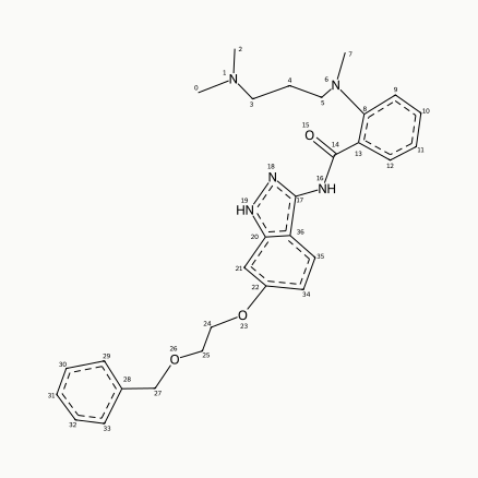 CN(C)CCCN(C)c1ccccc1C(=O)Nc1n[nH]c2cc(OCCOCc3ccccc3)ccc12